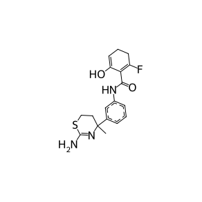 CC1(c2cccc(NC(=O)C3=C(F)CCC=C3O)c2)CCSC(N)=N1